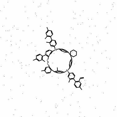 C=Cc1cc(C)ccc1-c1ccc(N2c3ccc(cc3)C3(CCCCC3)c3ccc(cc3)N(c3ccc(-c4ccc(C)cc4C)c(C)c3)c3ccc(-c4ccc(C)cc4C)c(c3)CCc3cc(C)ccc3-c3ccc2cc3C)cc1C